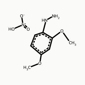 COc1ccc(NN)c(OC)c1.O=[N+]([O-])O